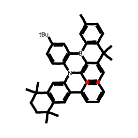 Cc1ccc2c(c1)B1c3cc(C(C)(C)C)ccc3N(c3cc4c(cc3-c3ccccc3)C(C)(C)CCC4(C)C)c3cccc(c31)C2(C)C